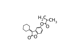 C=C(C)C(=O)Oc1ccc2c(c1)C(=C1CCCCC1)C(=O)O2